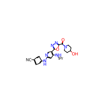 CC(C)Nc1cc(Nc2ccc(C#N)cc2)ncc1-c1nnc(C(=O)N2CCC(O)CC2)o1